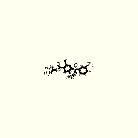 Cc1cc(S(=O)(=O)c2cccc(C(F)(F)F)c2)c(S(C)(=O)=O)cc1C(=O)N=C(N)N